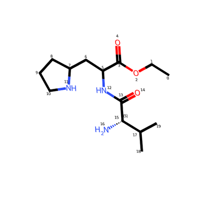 CCOC(=O)C(CC1CCCN1)NC(=O)[C@@H](N)C(C)C